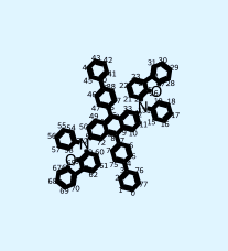 c1ccc(-c2ccc(-c3c4ccc(N(c5ccccc5)c5cccc6c5oc5ccccc56)cc4c(-c4ccc(-c5ccccc5)cc4)c4ccc(N(c5ccccc5)c5cccc6c5oc5ccccc56)cc34)cc2)cc1